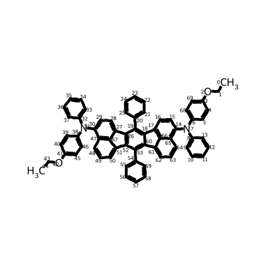 CCOc1ccc(N(c2ccccc2)c2ccc3c4c(-c5ccccc5)c5c6ccc(N(c7ccccc7)c7ccc(OCC)cc7)c7cccc(c5c(-c5ccccc5)c4c4cccc2c43)c76)cc1